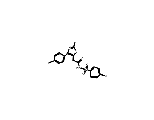 Cc1nc(-c2ccc(Cl)cc2)c(CC(=O)NS(=O)(=O)c2ccc(Cl)cc2)s1